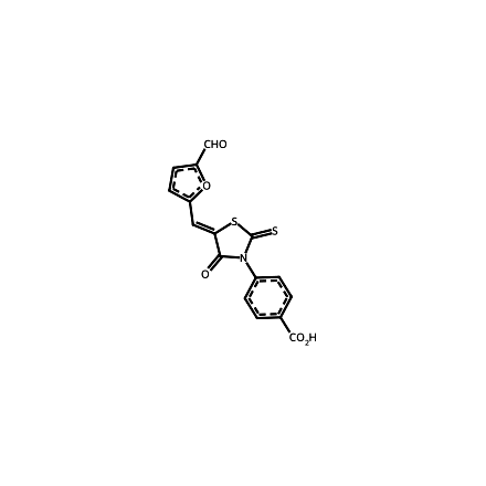 O=Cc1ccc(C=C2SC(=S)N(c3ccc(C(=O)O)cc3)C2=O)o1